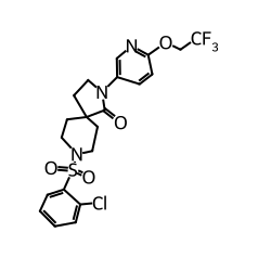 O=C1N(c2ccc(OCC(F)(F)F)nc2)CCC12CCN(S(=O)(=O)c1ccccc1Cl)CC2